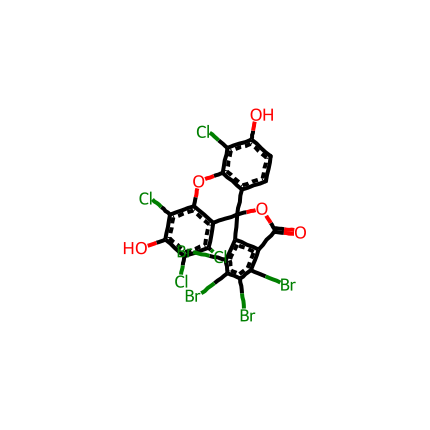 O=C1OC2(c3ccc(O)c(Cl)c3Oc3c(Cl)c(O)c(Cl)c(Cl)c32)c2c(Br)c(Br)c(Br)c(Br)c21